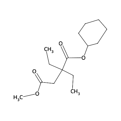 CCC(CC)(CC(=O)OC)C(=O)OC1CCCCC1